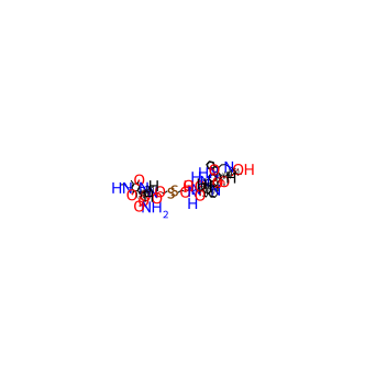 CCNC1=C(C)C(=O)C2=C(C1=O)[C@@H](COC(N)=O)[C@@]1(OC)[C@@H]3[C@H](CN21)N3C(=O)OCCSSCCOC(=O)NNC(=O)[C@@]1(O)C[C@]2(CC)C=CCN3CC[C@@]4(c5cc([C@@]6(C(=O)OC)C[C@@H]7CN(CCc8c6[nH]c6ccccc86)C[C@](O)(CC)C7)c(OC)cc5N(C)[C@H]41)[C@@H]32